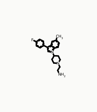 Cc1ccc2c(c1)c(-c1ccc(F)cc1)cn2C1CCN(CCN)CC1